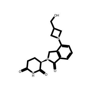 O=C1CC[C@@H](N2Cc3c(cccc3N3CC(CO)C3)C2=O)C(=O)N1